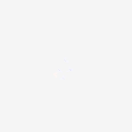 Cc1nc(Nc2cc(I)c(C)cn2)no1